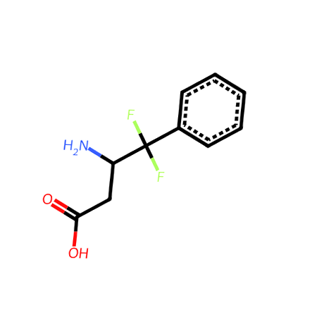 NC(CC(=O)O)C(F)(F)c1ccccc1